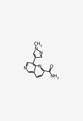 Cn1cc(-c2cncc3ccc(C(N)=O)nc23)cn1